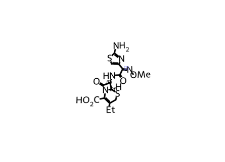 CCC1=C(C(=O)O)N2C(=O)[C@@H](NC(=O)/C(=N\OC)c3csc(N)n3)[C@H]2SC1